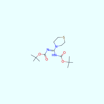 CC(C)(C)OC(=O)/N=C(\NC(=O)OC(C)(C)C)N1CCSCC1